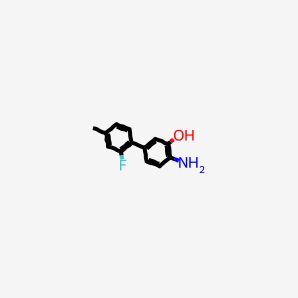 Cc1ccc(-c2ccc(N)c(O)c2)c(F)c1